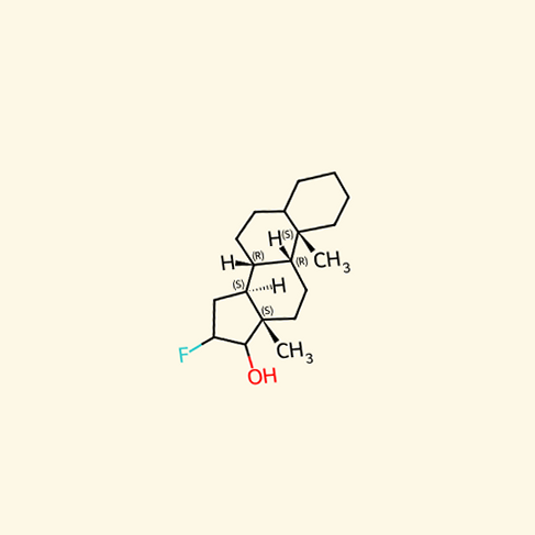 C[C@]12CCCCC1CC[C@@H]1[C@H]2CC[C@]2(C)C(O)C(F)C[C@@H]12